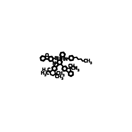 CCCCCc1ccc(Nc2ccccc2-c2cc(-c3ccc4c(c3)C(C)(C)c3ccccc3-4)c3c4cc5c(cc4n4c3c2Bc2cc3oc6ccccc6c3cc2-4)C(C)(C)CCC5(C)C)cc1